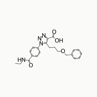 CCNC(=O)c1ccc(-n2nnc(C(=O)O)c2CCCOCc2ccccc2)cc1